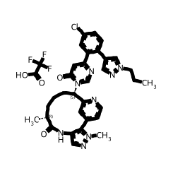 CCCn1cc(-c2ccc(Cl)cc2-c2cc(=O)n([C@H]3CCC[C@@H](C)C(=O)Nc4cnn(C)c4-c4ccnc3c4)cn2)cn1.O=C(O)C(F)(F)F